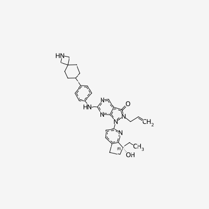 C=CCn1c(=O)c2cnc(Nc3ccc(C4CCC5(CC4)CNC5)cc3)nc2n1-c1ccc2c(n1)[C@@](O)(CC)CC2